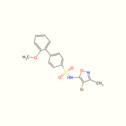 COc1ccccc1-c1ccc(S(=O)(=O)Nc2onc(C)c2Br)cc1